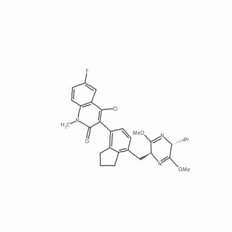 COC1=N[C@H](C(C)C)C(OC)=N[C@H]1Cc1ccc(-c2c(Cl)c3cc(F)ccc3n(C)c2=O)c2c1CCC2